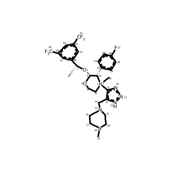 C[C@@H](O[C@H]1OCC[N+](C)(c2nn[nH]c2CN2CCN(C)CC2)[C@H]1c1ccc(F)cc1)c1cc(C(F)(F)F)cc(C(F)(F)F)c1